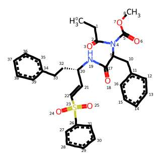 CCC(=O)N(C(=O)OC)C(Cc1ccccc1)C(=O)N[C@H](/C=C/S(=O)(=O)c1ccccc1)CCc1ccccc1